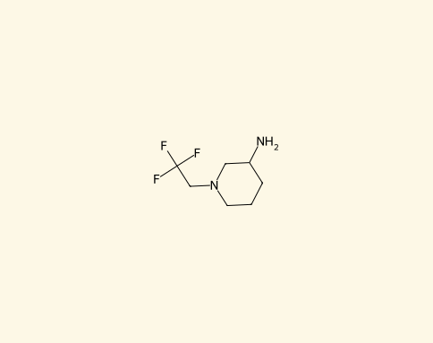 NC1CCCN(CC(F)(F)F)C1